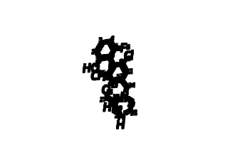 Oc1cccc(F)c1-c1c(Cl)cc2c(c1Cl)OC[C@H]1CNCCN1C2